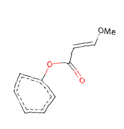 COC=CC(=O)Oc1ccccc1